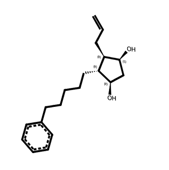 C=CC[C@@H]1[C@@H](CCCCCc2ccccc2)[C@H](O)C[C@@H]1O